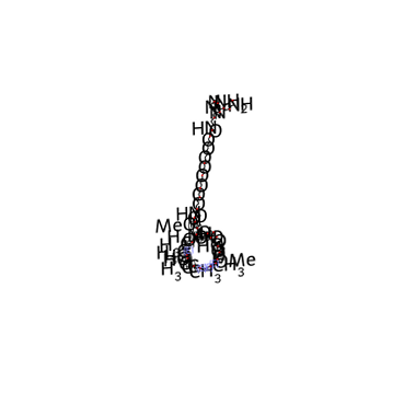 CO[C@H]1C[C@@H]2CCC[C@@](O)(O2)C(=O)C(=O)N2CCCC[C@H]2C(=O)O[C@H]([C@H](N)C[C@@H]2CC[C@@H](OC(=O)NCCOCCOCCOCCOCCOCCOCCOCCOCCC(=O)NCCCCn3nc(-c4ccc5[nH]ccc5c4)c4c(N)ncnc43)[C@H](OC)C2)CC(=O)[C@H](C)/C=C(\C)[C@@H](O)[C@@H](O)C(=O)[C@H](C)C[C@H](C)/C=C/C=C/C=C/1C